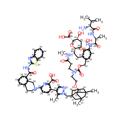 CNC(=O)CCN(CCOC12CC3(C)CC(C)(CC(Cn4ncc(-c5ccc(N6CCc7cccc(C(=O)Nc8nc9ccccc9s8)c7C6)nc5C(=O)O)c4C)(C3)C1)C2)C(=O)OCc1ccc(NC(=O)[C@H](C)NC(=O)[C@@H](N)C(C)C)cc1CC[C@H]1O[C@H](C(=O)O)[C@@H](O)[C@H](O)[C@H]1O